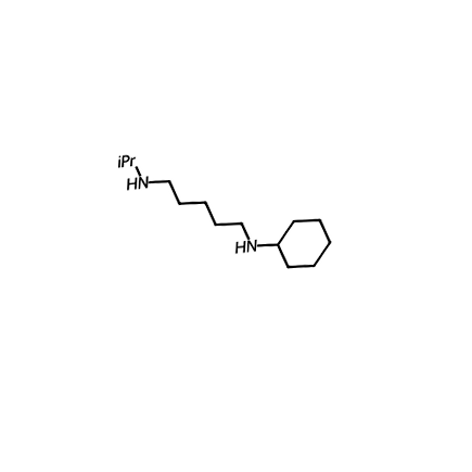 CC(C)NCCCCCNC1CCCCC1